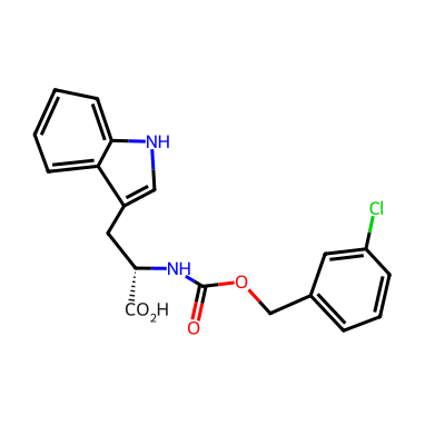 O=C(N[C@@H](Cc1c[nH]c2ccccc12)C(=O)O)OCc1cccc(Cl)c1